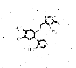 Cc1cc(OCc2n[nH]c(=O)n2C)c(-c2cncn2C)cc1Cl